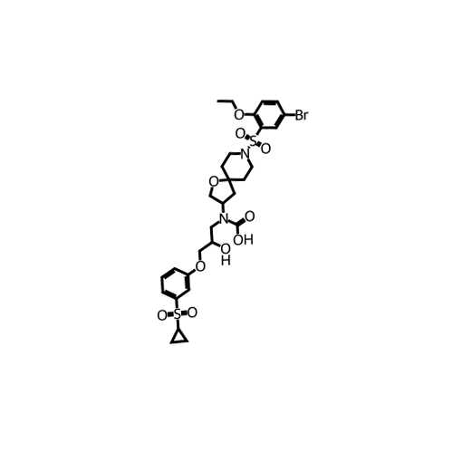 CCOc1ccc(Br)cc1S(=O)(=O)N1CCC2(CC1)CC(N(CC(O)COc1cccc(S(=O)(=O)C3CC3)c1)C(=O)O)CO2